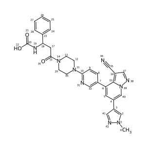 Cn1cc(-c2cc(-c3ccc(N4CCN(C(=O)CC(NC(=O)O)c5ccccc5)CC4)nc3)c3c(C#N)cnn3c2)cn1